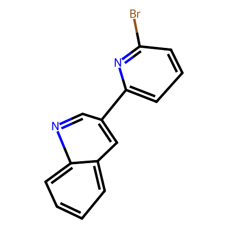 Brc1cccc(-c2cnc3ccccc3c2)n1